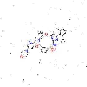 Cc1cccc(C2CC2)c1-c1nc2nc(c1C)OC[C@@H](CC(C)(C)C)N(Cc1ccc(N3CCOCC3)cn1)C(=O)c1cccc(c1)S(=O)(=O)N2